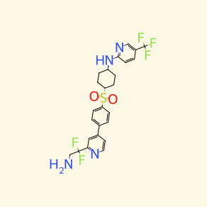 NCC(F)(F)c1cc(-c2ccc(S(=O)(=O)[C@H]3CC[C@H](Nc4ccc(C(F)(F)F)cn4)CC3)cc2)ccn1